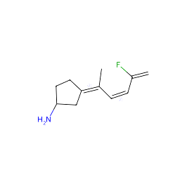 C=C(F)/C=C\C(C)=C1\CCC(N)C1